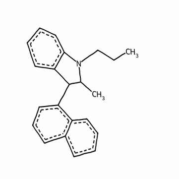 CCCN1c2ccccc2C(c2cccc3ccccc23)C1C